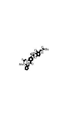 COCC1(CNC(=O)c2cc3nc(Nc4c(Cl)ccc(CNC(=O)C(C)(C)C)c4Cl)n(C)c3cc2OCC(F)F)CCCC1